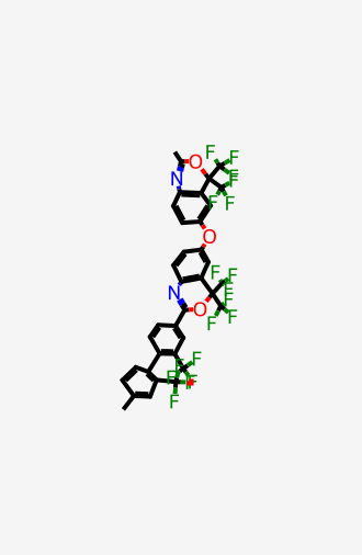 CC1=Nc2ccc(Oc3ccc4c(c3)C(C(F)(F)F)(C(F)(F)F)OC(c3ccc(-c5ccc(C)cc5C(F)(F)F)c(C(F)(F)F)c3)=N4)cc2C(C(F)(F)F)(C(F)(F)F)O1